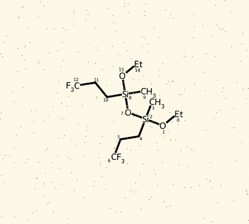 CCO[Si](C)(CCC(F)(F)F)O[Si](C)(CCC(F)(F)F)OCC